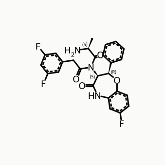 C[C@H](N)C(=O)N(C(=O)Cc1cc(F)cc(F)c1)[C@@H]1C(=O)Nc2cc(F)ccc2O[C@@H]1c1ccccc1